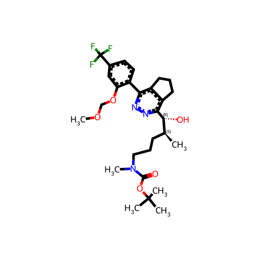 COCOc1cc(C(F)(F)F)ccc1-c1nnc([C@H](O)[C@@H](C)CCCN(C)C(=O)OC(C)(C)C)c2c1CCC2